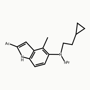 CCCN(CCC1CC1)c1ccc2[nH]c(C(C)=O)cc2c1C